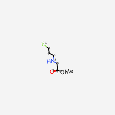 COC(=O)CNCCCF